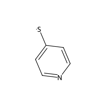 [S]c1ccncc1